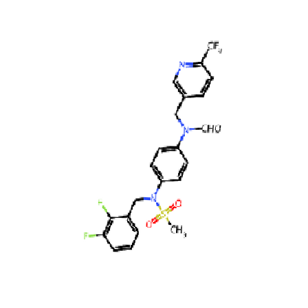 CS(=O)(=O)N(Cc1cccc(F)c1F)c1ccc(N(C=O)Cc2ccc(C(F)(F)F)nc2)cc1